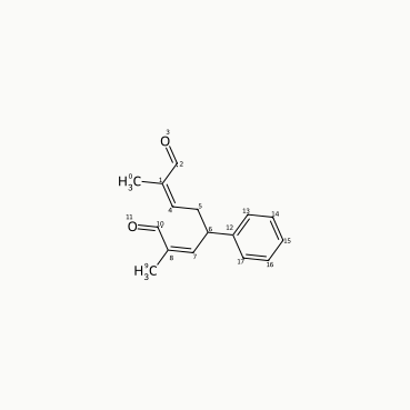 CC([C]=O)=CCC(C=C(C)[C]=O)c1ccccc1